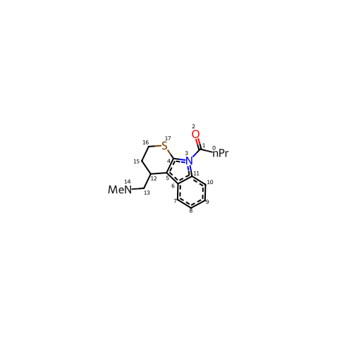 CCCC(=O)n1c2c(c3ccccc31)C(CNC)CCS2